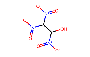 O=[N+]([O-])C(O)C([N+](=O)[O-])[N+](=O)[O-]